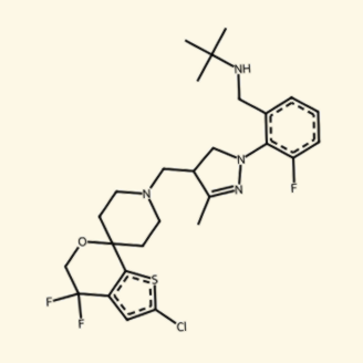 CC1=NN(c2c(F)cccc2CNC(C)(C)C)CC1CN1CCC2(CC1)OCC(F)(F)c1cc(Cl)sc12